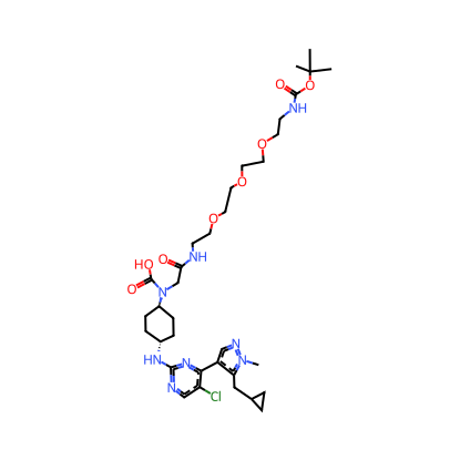 Cn1ncc(-c2nc(N[C@H]3CC[C@H](N(CC(=O)NCCOCCOCCOCCNC(=O)OC(C)(C)C)C(=O)O)CC3)ncc2Cl)c1CC1CC1